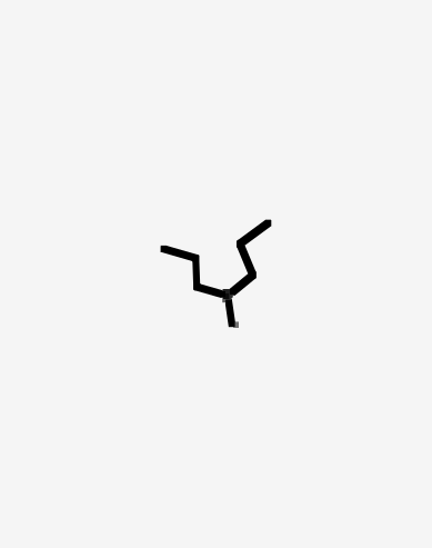 [CH2]P(CCC)CCC